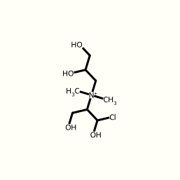 C[N+](C)(CC(O)CO)C(CO)C(O)Cl